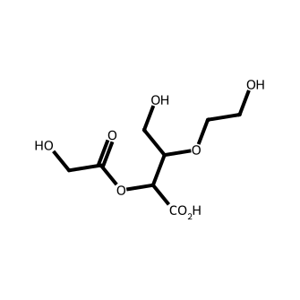 O=C(CO)OC(C(=O)O)C(CO)OCCO